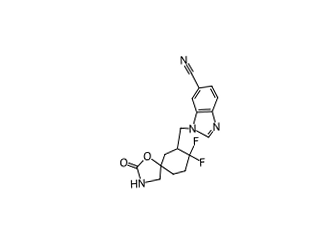 N#Cc1ccc2ncn(CC3CC4(CCC3(F)F)CNC(=O)O4)c2c1